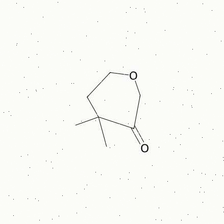 CC1(C)CCOCC1=O